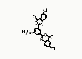 COc1cc(-c2nc3ccc(Cl)cc3c(=O)o2)cc(-c2nc3ccc(Cl)cc3c(=O)o2)c1